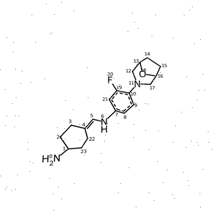 NC1CCC(=CNc2ccc(N3CC4CCC(C3)O4)c(F)c2)CC1